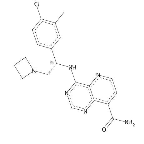 Cc1cc([C@@H](CN2CCC2)Nc2ncnc3c(C(N)=O)ccnc23)ccc1Cl